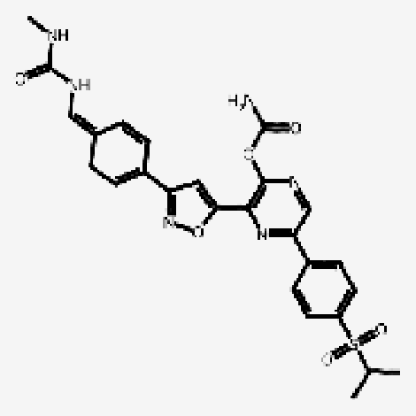 CNC(=O)NC=C1C=CC(c2cc(-c3nc(-c4ccc(S(=O)(=O)C(C)C)cc4)cnc3OC(N)=O)on2)=CC1